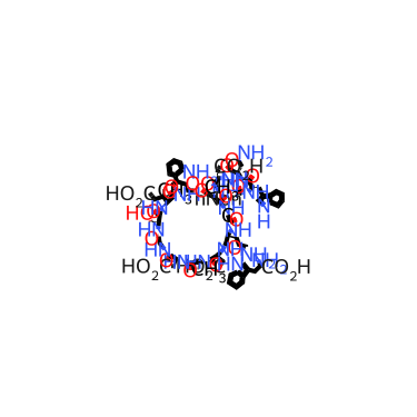 CCCCCCCCCC(=O)N[C@@H](Cc1c[nH]c2ccccc12)C(=O)N[C@@H](CC(N)=O)C(=O)N[C@@H](CC(=O)O)C(=O)N[C@@H]1C(=O)NCC(=O)N[C@@H](CCCN)C(=O)N[C@@H](CC(=O)O)C(=O)N[C@H](C)C(=O)N[C@@H](CC(=O)O)C(=O)NCC(=O)N[C@H](CO)C(=O)N[C@@H]([C@H](C)CC(=O)O)C(=O)N[C@@H](CC(=O)c2ccccc2N)C(=O)O[C@@H]1C.NC(Cc1c[nH]c2ccccc12)C(=O)O